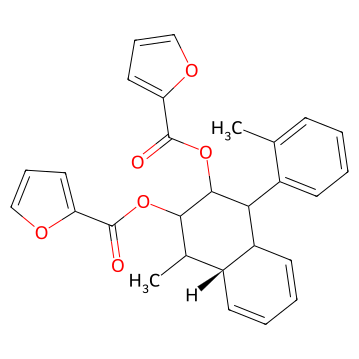 Cc1ccccc1C1C(OC(=O)c2ccco2)C(OC(=O)c2ccco2)C(C)[C@H]2C=CC=CC12